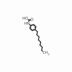 CCCCCCCCCc1ccc(NC(=O)O)cc1